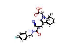 Cc1cccc2c(/C=C(\C#N)C(=O)NCc3ccc(F)cc3)cn(CC(=O)O)c12